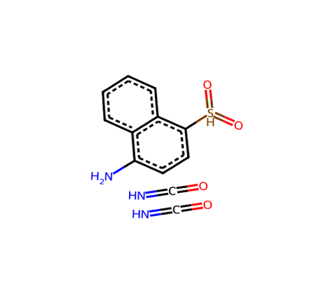 N=C=O.N=C=O.Nc1ccc([SH](=O)=O)c2ccccc12